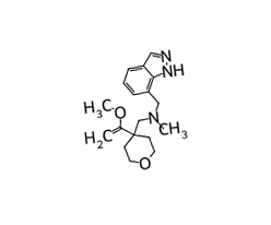 C=C(OC)C1(CN(C)Cc2cccc3cn[nH]c23)CCOCC1